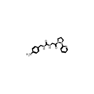 Nc1ccc(CNC(=O)NCC(=O)N2CCCN2c2ccccn2)cc1